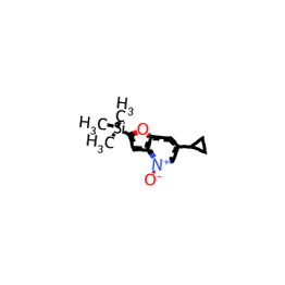 C[Si](C)(C)c1cc2c(cc(C3CC3)c[n+]2[O-])o1